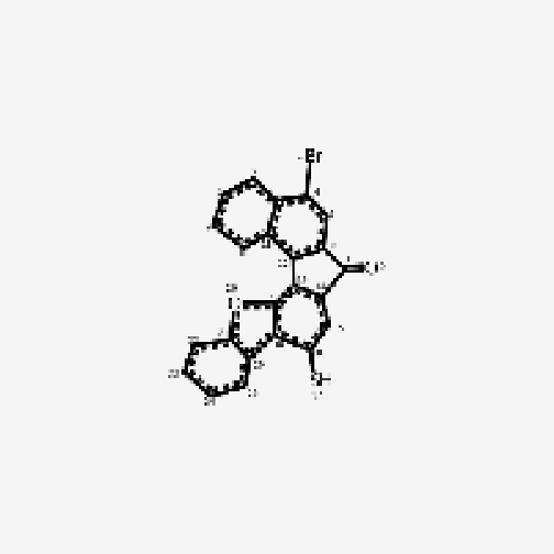 O=C1c2cc(Br)c3ccccc3c2-c2c1cc(S)c1c2oc2ccccc21